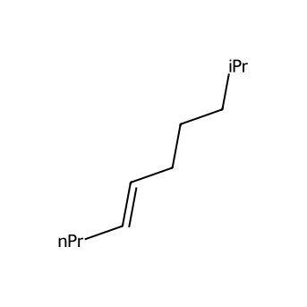 [CH2]C(C)CCCC=CCCC